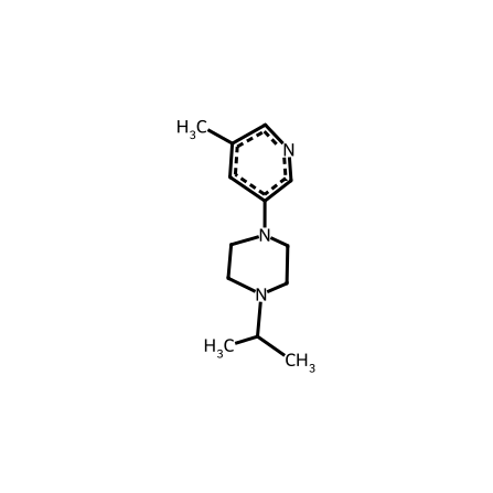 Cc1cncc(N2CCN(C(C)C)CC2)c1